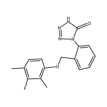 Cc1ccc(OCc2ccccc2-n2nn[nH]c2=O)c(C)c1F